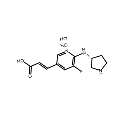 Cl.Cl.O=C(O)C=Cc1cnc(N[C@@H]2CCNC2)c(F)c1